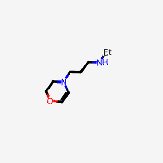 CCNCCCN1C=COCC1